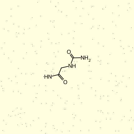 [NH]C(=O)CNC(N)=O